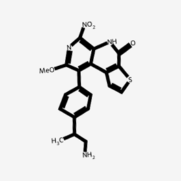 COc1nc([N+](=O)[O-])c2[nH]c(=O)c3sccc3c2c1-c1ccc(C(C)CN)cc1